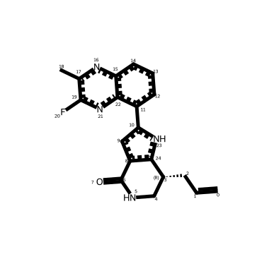 C=CC[C@@H]1CNC(=O)c2cc(-c3cccc4nc(C)c(F)nc34)[nH]c21